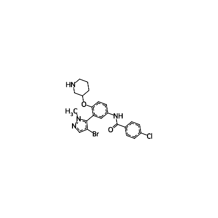 Cn1ncc(Br)c1-c1cc(NC(=O)c2ccc(Cl)cc2)ccc1OC1CCCNC1